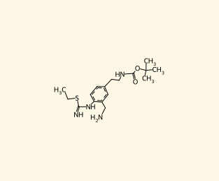 CCSC(=N)Nc1ccc(CCNC(=O)OC(C)(C)C)cc1CN